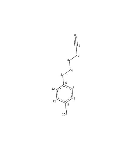 [C]#CCCCCc1ccc(I)cc1